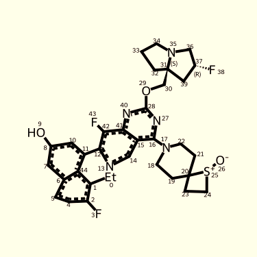 CCc1c(F)ccc2cc(O)cc(-c3ncc4c(N5CCC6(CC5)CC[S+]6[O-])nc(OC[C@@]56CCCN5C[C@H](F)C6)nc4c3F)c12